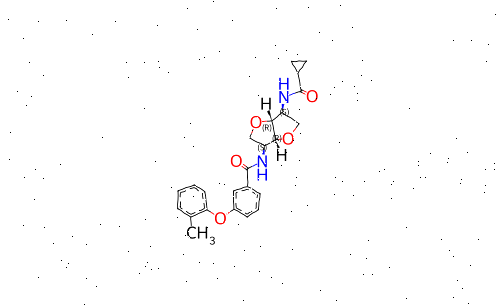 Cc1ccccc1Oc1cccc(C(=O)N[C@H]2CO[C@H]3[C@@H]2OC[C@@H]3NC(=O)C2CC2)c1